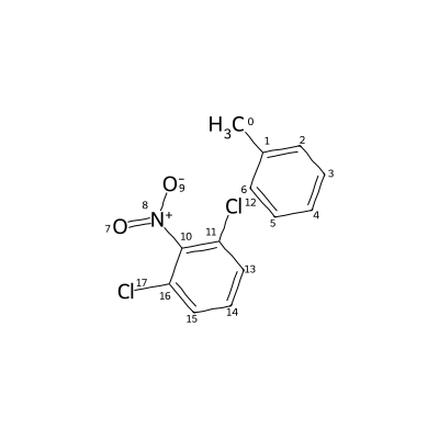 Cc1ccccc1.O=[N+]([O-])c1c(Cl)cccc1Cl